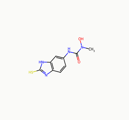 CN(O)C(=O)Nc1ccc2nc(S)[nH]c2c1